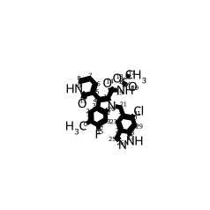 Cc1cc2c(-c3ccc[nH]c3=O)c(C(=O)NS(C)(=O)=O)n(Cc3cc4cn[nH]c4cc3Cl)c2cc1F